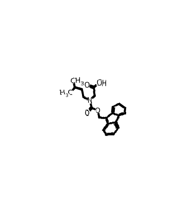 CC(C)CCN(CC(=O)O)C(=O)OCC1c2ccccc2-c2ccccc21